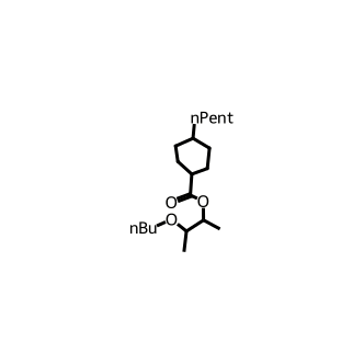 CCCCCC1CCC(C(=O)OC(C)C(C)OCCCC)CC1